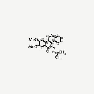 COc1cc2c(=O)n(CCN(C)C)c3c4ccccc4ncc3c2cc1OC